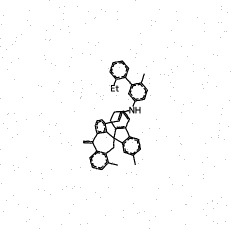 C=C1c2cccc(C)c2CC2(C3=C(C=CCC3)c3ccc(C)cc32)c2c(C=CNc3ccc(C)c(-c4ccccc4CC)c3)cccc21